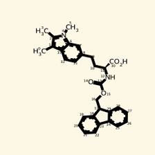 Cc1c(C)n(C)c2cc(CC[C@H](NC(=O)OCC3c4ccccc4-c4ccccc43)C(=O)O)ccc12